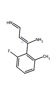 Cc1cccc(F)c1/C(N)=C/C=N